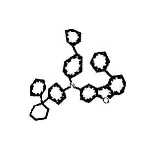 c1ccc(-c2ccc(N(c3ccc(C4(c5ccccc5)CCCCC4)cc3)c3ccc4oc5cccc(-c6ccccc6)c5c4c3)cc2)cc1